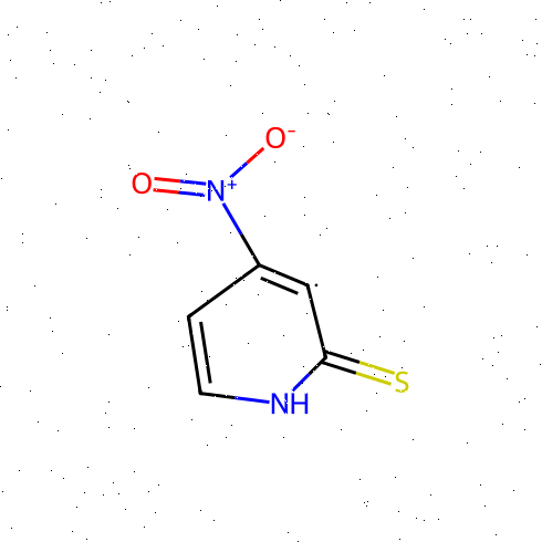 O=[N+]([O-])c1[c]c(=S)[nH]cc1